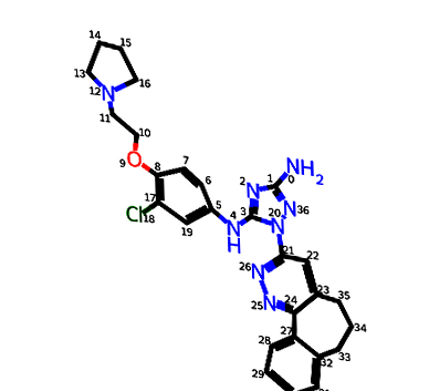 Nc1nc(Nc2ccc(OCCN3CCCC3)c(Cl)c2)n(-c2cc3c(nn2)-c2ccccc2CCC3)n1